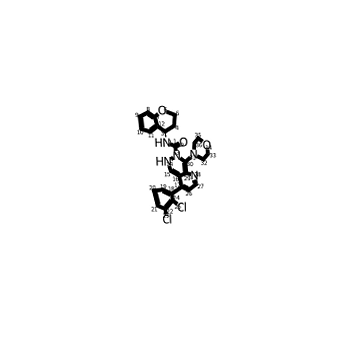 O=C(N[C@H]1CCOc2ccccc21)N1NC=c2c(-c3cccc(Cl)c3Cl)ccnc2=C1N1CCOCC1